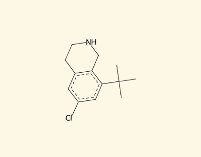 CC(C)(C)c1cc(Cl)cc2c1CNCC2